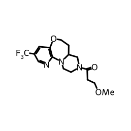 COCCC(=O)N1CCN2c3ncc(C(F)(F)F)cc3OCCC2C1